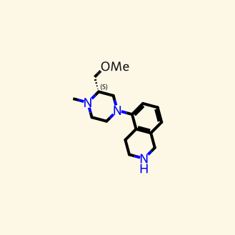 COC[C@@H]1CN(c2cccc3c2CCNC3)CCN1C